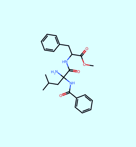 COC(=O)C(Cc1ccccc1)NC(=O)C(N)(CC(C)C)NC(=O)c1ccccc1